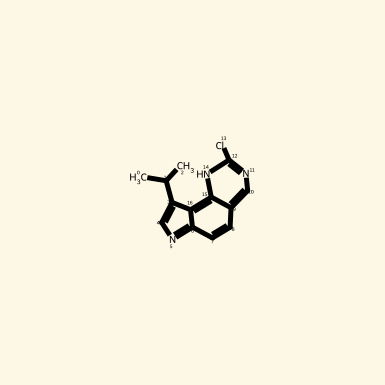 CC(C)c1cnc2ccc3cnc(Cl)[nH]c3c12